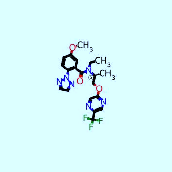 CCN(C(=O)c1cc(OC)ccc1-n1nccn1)[C@@H](C)COc1cnc(C(F)(F)F)cn1